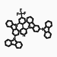 FC(F)(F)c1ccc(-c2ccncc2-n2c3ccccc3c3cc(-n4c5ccccc5c5ccccc54)ccc32)c(-n2c3ccccc3c3cc(-n4c5ccccc5c5ccccc54)ccc32)c1